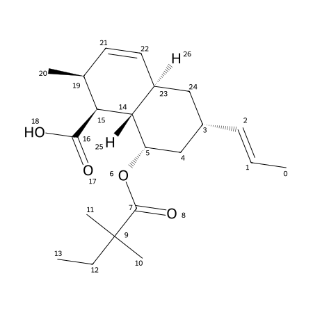 CC=C[C@@H]1C[C@H](OC(=O)C(C)(C)CC)[C@@H]2[C@@H](C(=O)O)[C@@H](C)C=C[C@H]2C1